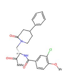 CNC(=O)[C@H](CN1CCC(c2ccccc2)CC1=O)NC(=O)c1ccc(OC(C)C)c(Cl)c1